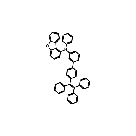 c1ccc(C(=C(c2ccccc2)c2ccc(-c3cccc(N(c4ccccc4)c4cccc5oc6ccccc6c45)c3)cc2)c2ccccc2)cc1